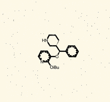 CC(C)COc1ncccc1O[C@H](c1ccccc1)[C@H]1CCCNC1